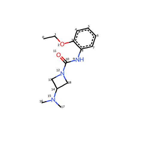 CCOc1ccccc1NC(=O)N1CC(N(C)C)C1